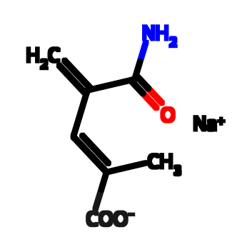 C=C(C=C(C)C(=O)[O-])C(N)=O.[Na+]